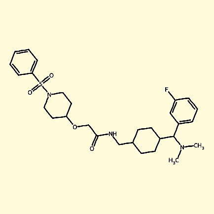 CN(C)C(c1cccc(F)c1)C1CCC(CNC(=O)COC2CCN(S(=O)(=O)c3ccccc3)CC2)CC1